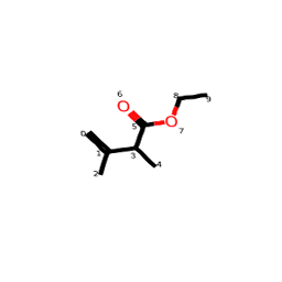 C=C(C)C(C)C(=O)OCC